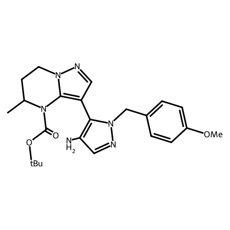 COc1ccc(Cn2ncc(N)c2-c2cnn3c2N(C(=O)OC(C)(C)C)C(C)CC3)cc1